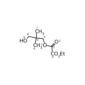 CCOC(=O)C(=O)OCC(C)(C)CO